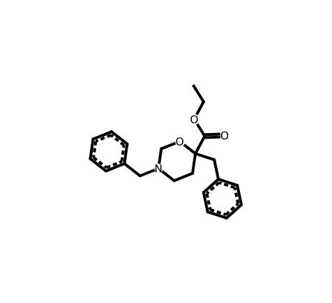 CCOC(=O)C1(Cc2ccccc2)CCN(Cc2ccccc2)CO1